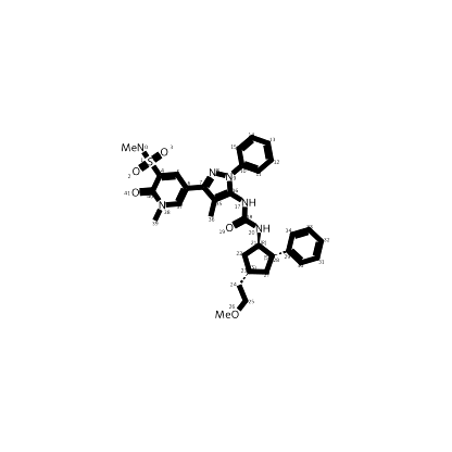 CNS(=O)(=O)c1cc(-c2nn(-c3ccccc3)c(NC(=O)N[C@@H]3C[C@@H](CCOC)C[C@H]3c3ccccc3)c2C)cn(C)c1=O